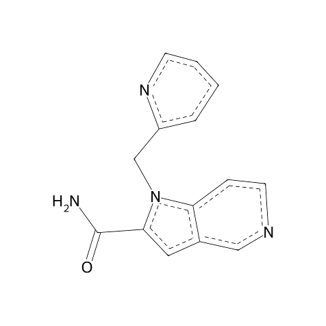 NC(=O)c1cc2cnccc2n1Cc1ccccn1